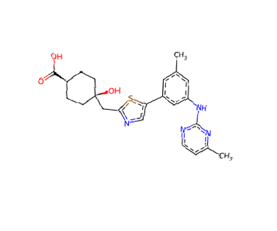 Cc1cc(Nc2nccc(C)n2)cc(-c2cnc(C[C@]3(O)CC[C@@H](C(=O)O)CC3)s2)c1